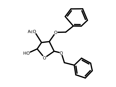 CC(=O)OC1C(O)OC(OCc2ccccc2)C1OCc1ccccc1